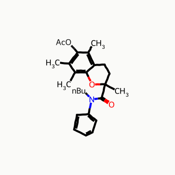 CCCCN(C(=O)C1(C)CCc2c(C)c(OC(C)=O)c(C)c(C)c2O1)c1ccccc1